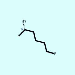 CC(C)[C@@H](C)CCCCF